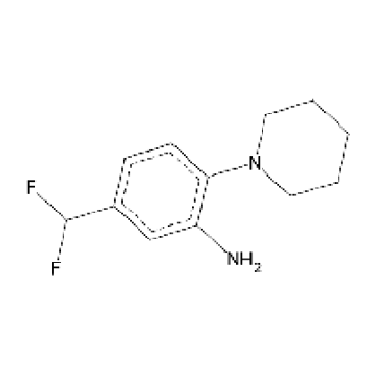 Nc1cc(C(F)F)ccc1N1CCCCC1